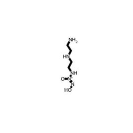 NCCNCCN[N+]([O-])=NO